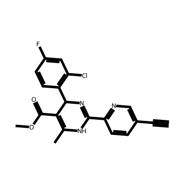 C#Cc1ccc(C2=NC(c3ccc(F)cc3Cl)C(C(=O)OC)=C(C)N2)nc1